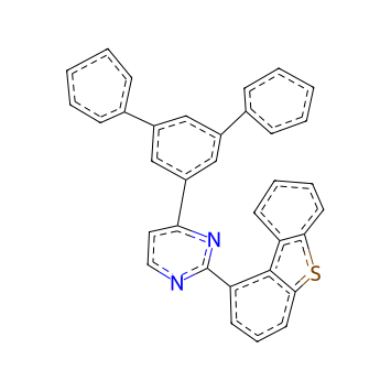 c1ccc(-c2cc(-c3ccccc3)cc(-c3ccnc(-c4cccc5sc6ccccc6c45)n3)c2)cc1